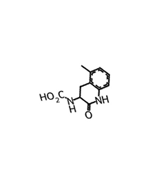 Cc1cccc2c1CC(NC(=O)O)C(=O)N2